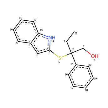 CCC(CO)(Sc1cc2ccccc2[nH]1)c1ccccc1